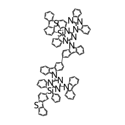 c1ccc([Si](c2ccccc2)(c2ccc3sc4ccccc4c3c2)c2nc(-n3c4ccccc4c4ccccc43)nc(-n3c4ccccc4c4cc(-c5ccc6c(c5)c5ccccc5n6-c5nc(-n6c7ccccc7n7c8ccccc8nc67)nc([Si](c6ccccc6)(c6ccccc6)c6cccc7c6sc6ccccc67)n5)ccc43)n2)cc1